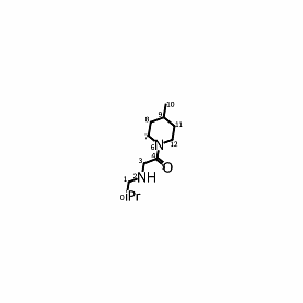 CC(C)CNCC(=O)N1CCC(C)CC1